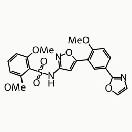 COc1ccc(-c2ncco2)cc1-c1cc(NS(=O)(=O)c2c(OC)cccc2OC)no1